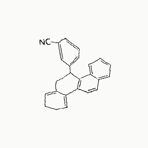 N#Cc1cccc(C2CC3=CCCC=C3c3ccc4ccccc4c32)c1